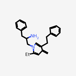 C=C1C=C(CC)N(CC(N)Cc2ccccc2)C=C1CCc1ccccc1